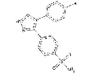 NS(=O)(=O)c1ccc(-c2n[nH]cc2-c2ccc(Br)cc2)cc1